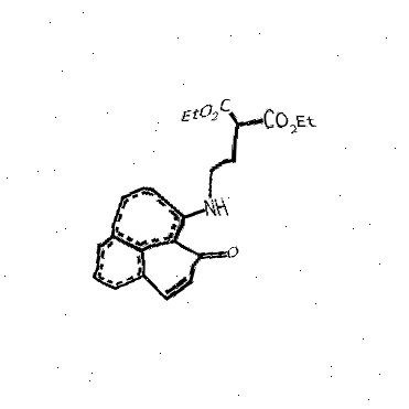 CCOC(=O)C(CCNc1ccc2cccc3c2c1C(=O)C=C3)C(=O)OCC